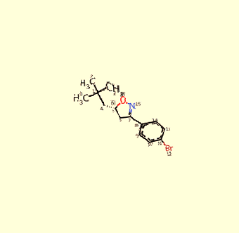 CC(C)(C)C[C@H]1CC(c2ccc(Br)cc2)=NO1